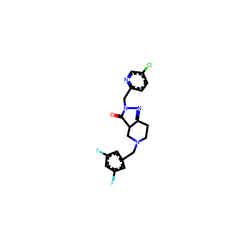 O=C1C2CN(Cc3cc(F)cc(F)c3)CCC2=NN1Cc1ccc(Cl)cn1